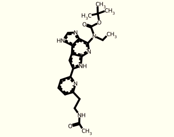 CCN(C(=O)OC(C)(C)C)c1nc2[nH]c(-c3cccc(CCNC(C)=O)n3)cc2c2[nH]cnc12